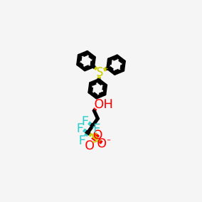 O=S(=O)([O-])C(F)(F)C(F)(F)CCO.c1ccc([S+](c2ccccc2)c2ccccc2)cc1